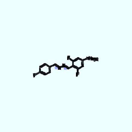 CCCCCCCc1cc(F)c(/C=N/N=C/c2ccc(F)cc2)c(F)c1